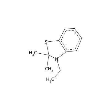 CCN1c2ccccc2SC1(C)C